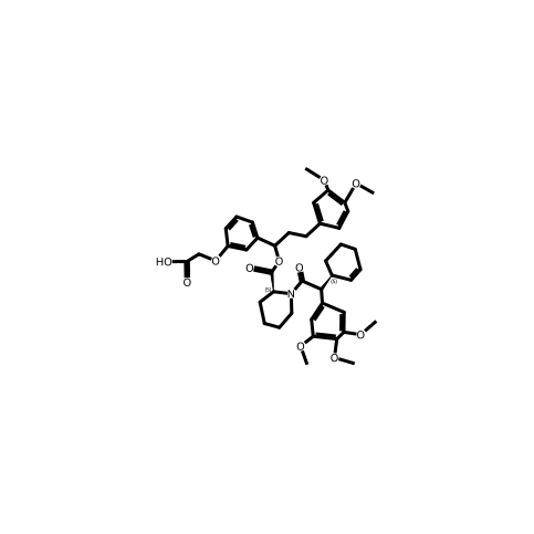 COc1ccc(CCC(OC(=O)[C@@H]2CCCCN2C(=O)C(c2cc(OC)c(OC)c(OC)c2)[C@@H]2C=CCCC2)c2cccc(OCC(=O)O)c2)cc1OC